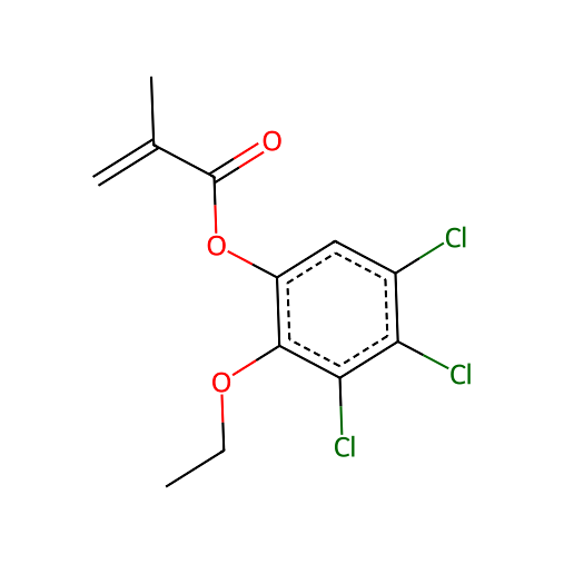 C=C(C)C(=O)Oc1cc(Cl)c(Cl)c(Cl)c1OCC